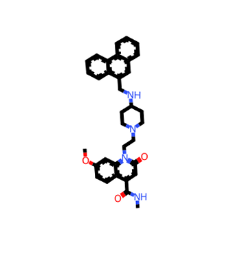 CNC(=O)c1cc(=O)n(CCN2CCC(NCc3cc4ccccc4c4ccccc34)CC2)c2cc(OC)ccc12